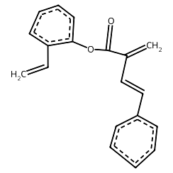 C=Cc1ccccc1OC(=O)C(=C)C=Cc1ccccc1